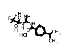 CC(C)c1ccc(C(=O)NC(=N)NC(O)(O)C(F)(F)F)cc1.Cl